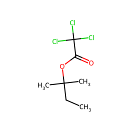 CCC(C)(C)OC(=O)C(Cl)(Cl)Cl